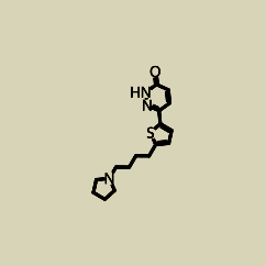 O=c1ccc(-c2ccc(CCCCN3CCCC3)s2)n[nH]1